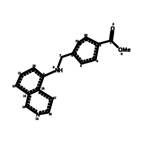 COC(=O)c1ccc(CNc2cccc3cnccc23)cc1